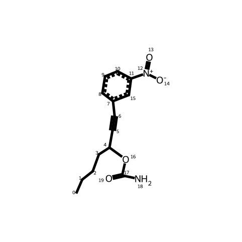 CCCCC(C#Cc1cccc([N+](=O)[O-])c1)OC(N)=O